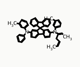 C/C=C\C/C(=C\C)N(c1cccc(C)c1)c1ccc2c(c1)C1(c3ccccc3-c3ccccc31)c1cc(N(c3ccccc3)c3cccc(C)c3)ccc1-2